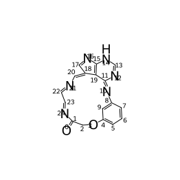 O=C1COc2cccc(c2)/N=c2\nc[nH]c3nc/c(c2=3)=C/N=C/C=N/1